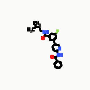 CC(C)CCNC(=O)c1cc(F)cc(-c2ccc(NC(=O)c3ccccc3)nc2)c1